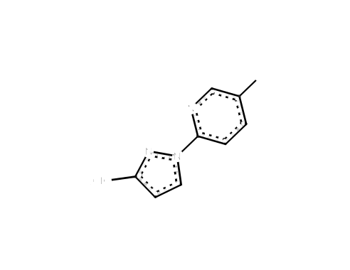 O=Cc1ccn(-c2ccc(F)cn2)n1